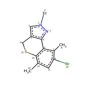 CCn1cc2c(n1)-c1c(C)c(Br)cc(C)c1SC2